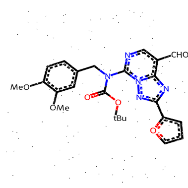 COc1ccc(CN(C(=O)OC(C)(C)C)c2ncc(C=O)c3nc(-c4ccco4)nn23)cc1OC